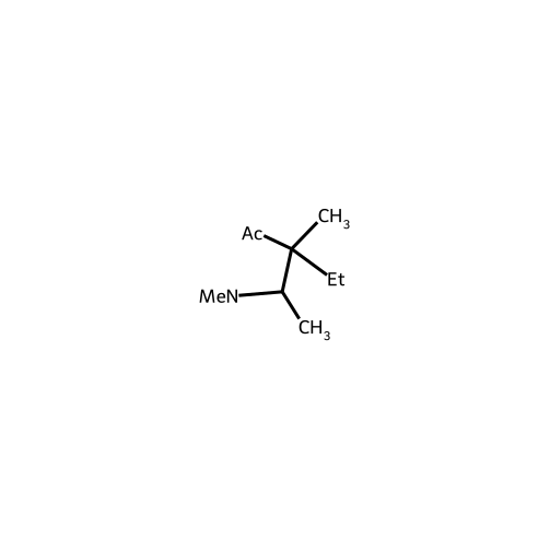 CCC(C)(C(C)=O)C(C)NC